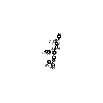 CC(C)c1ccccc1[C@@H]1CS(=O)(=O)CCN1C1CC2(CCN(c3ccc(C(=O)NS(=O)(=O)c4cnc(NCC5CCC(C)(C)CC5)c([N+](=O)[O-])c4)c(Oc4cnc5[nH]ccc5c4)c3)CC2)C1